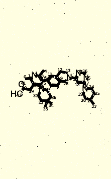 Cc1nc(C)c(-c2ccc3c(c2)CCN(c2cc(N4CCC(C)CC4)ncn2)C3)c(N2CCC(C)(C)CC2)c1CC(=O)O